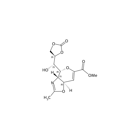 COC(=O)C1=C[C@H]2OC(C)=N[C@@H]2[C@H]([C@H](O)[C@H]2COC(=O)O2)O1